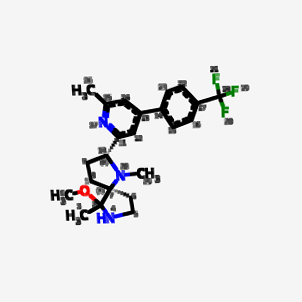 COC1(C)NCC[C@@]12CC[C@H](c1cc(-c3ccc(C(F)(F)F)cc3)cc(C)n1)N2C